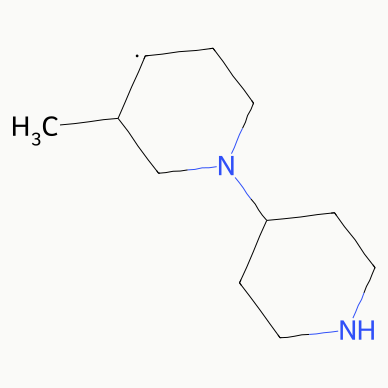 CC1[CH]CCN(C2CCNCC2)C1